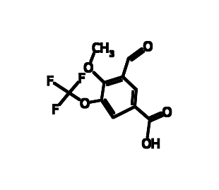 COc1c(C=O)cc(C(=O)O)cc1OC(F)(F)F